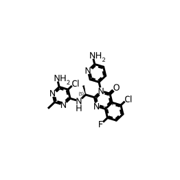 Cc1nc(N)c(Cl)c(N[C@@H](C)c2nc3c(F)ccc(Cl)c3c(=O)n2-c2ccc(N)nc2)n1